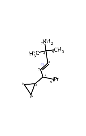 CC(C)C(/C=C/C(C)(C)N)C1CC1